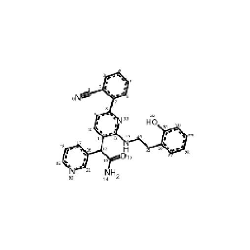 N#Cc1ccccc1-c1ccc(C(C(N)=O)c2cccnc2)c(NCCc2ccccc2O)n1